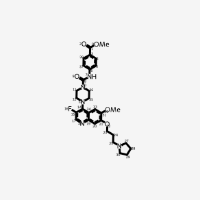 COC(=O)c1ccc(NC(=O)N2CCN(c3c(F)cnc4cc(OCCCN5CCCC5)c(OC)cc34)CC2)cc1